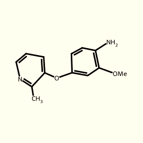 COc1cc(Oc2cccnc2C)ccc1N